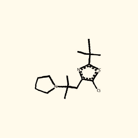 CC(C)(C)c1nc(CC(C)(C)N2CCCC2)c(Cl)s1